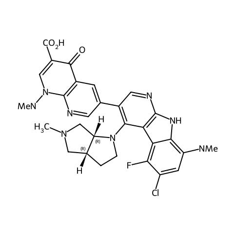 CNc1cc(Cl)c(F)c2c1[nH]c1ncc(-c3cnc4c(c3)c(=O)c(C(=O)O)cn4NC)c(N3CC[C@@H]4CN(C)C[C@@H]43)c12